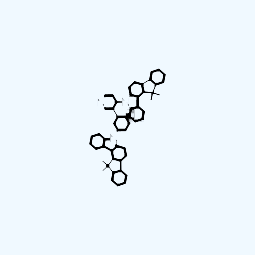 CC1(C)c2ccccc2-c2ccc3c(c21)c1ccccc1n3-c1ccc(C(F)(F)F)c(-c2cnccc2-n2c3ccccc3c3c4c(ccc32)-c2ccccc2C4(C)C)c1